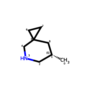 C[C@@H]1CNCC2(CC2)C1